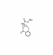 CC(C)(C)OC(=O)NC1C2CCC1C(=O)c1ccccc1C2